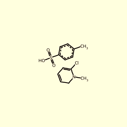 CN1CC=CC=C1Cl.Cc1ccc(S(=O)(=O)O)cc1